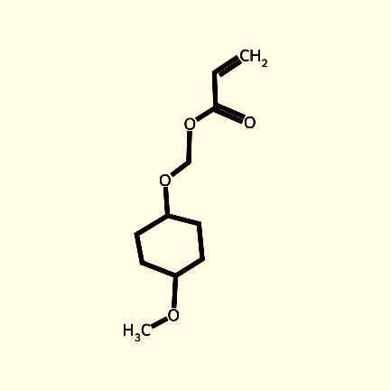 C=CC(=O)OCOC1CCC(OC)CC1